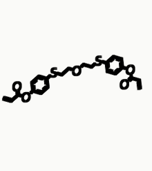 C=CC(=O)Oc1ccc(SCCOCCSc2ccc(OC(=O)C=C)cc2)cc1